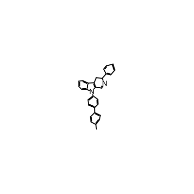 Cc1ccc(-c2ccc(-n3c4c(c5ccccc53)CC(c3ccccc3)N=C4)cc2)cc1